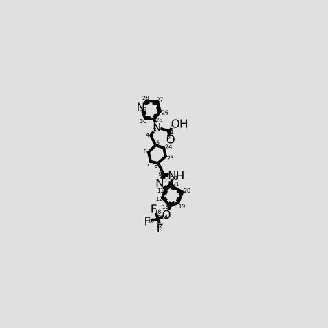 O=C(O)N(CC1CCC(c2nc3cc(OC(F)(F)F)ccc3[nH]2)CC1)c1cccnc1